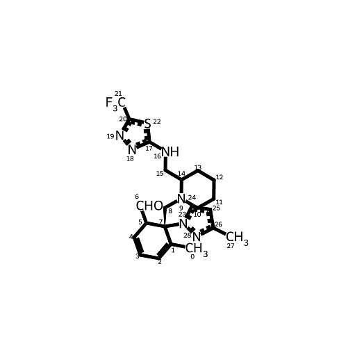 CC1=CC=CC(C=O)[C@]1(CN1CCCCC1CNc1nnc(C(F)(F)F)s1)n1ccc(C)n1